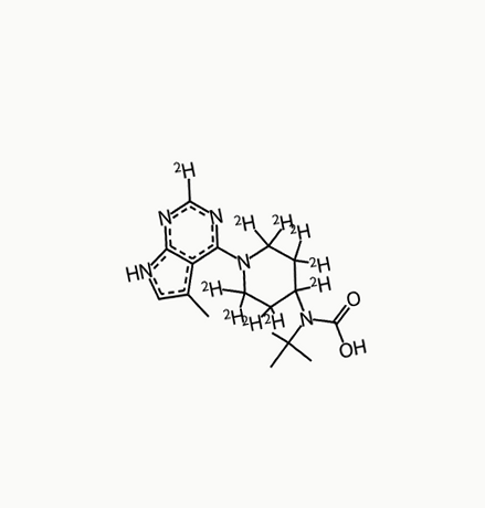 [2H]c1nc(N2C([2H])([2H])C([2H])([2H])C([2H])(N(C(=O)O)C(C)(C)C)C([2H])([2H])C2([2H])[2H])c2c(C)c[nH]c2n1